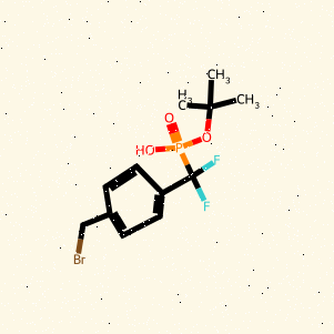 CC(C)(C)OP(=O)(O)C(F)(F)c1ccc(CBr)cc1